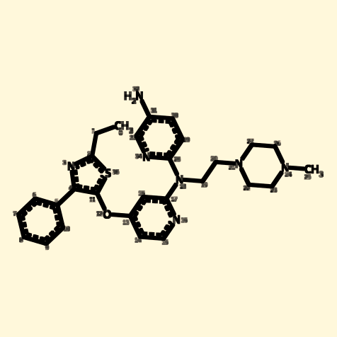 CCc1nc(-c2ccccc2)c(Oc2ccnc(N(CCN3CCN(C)CC3)c3ccc(N)cn3)c2)s1